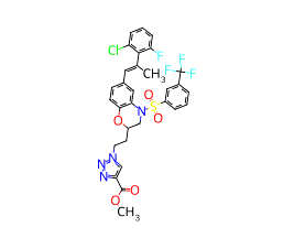 COC(=O)c1cn(CCC2CN(S(=O)(=O)c3cccc(C(F)(F)F)c3)c3cc(C=C(C)c4c(F)cccc4Cl)ccc3O2)nn1